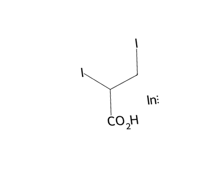 O=C(O)C(I)CI.[In]